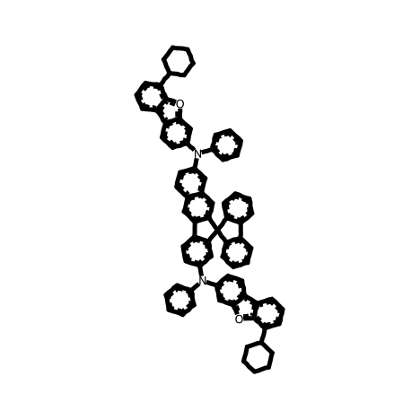 c1ccc(N(c2ccc3c(c2)C2(c4ccccc4-c4ccccc42)c2cc4cc(N(c5ccccc5)c5ccc6c(c5)oc5c(C7CCCCC7)cccc56)ccc4cc2-3)c2ccc3c(c2)oc2c(C4CCCCC4)cccc23)cc1